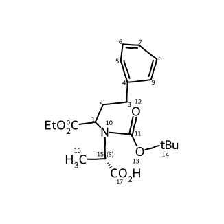 CCOC(=O)C(CCc1ccccc1)N(C(=O)OC(C)(C)C)[C@@H](C)C(=O)O